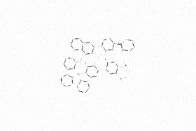 CC1(C)CCC(C)(C)c2cc(N3B4c5cccc6c5N(c5ccccc5C6(c5ccccc5)c5ccccc5)c5c4c(cc4ccccc54)-c4ccc5c(oc6ccccc65)c43)ccc21